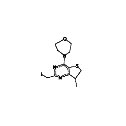 CC1CSc2c1nc(CI)nc2N1CCOCC1